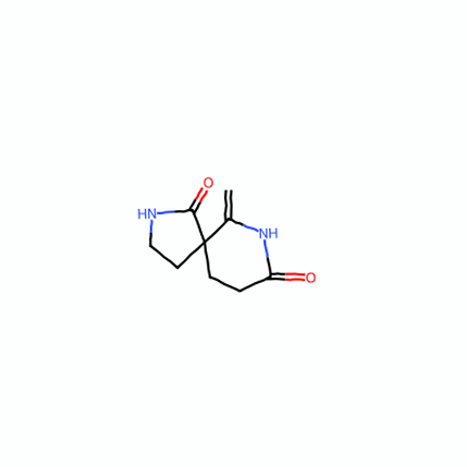 C=C1NC(=O)CCC12CCNC2=O